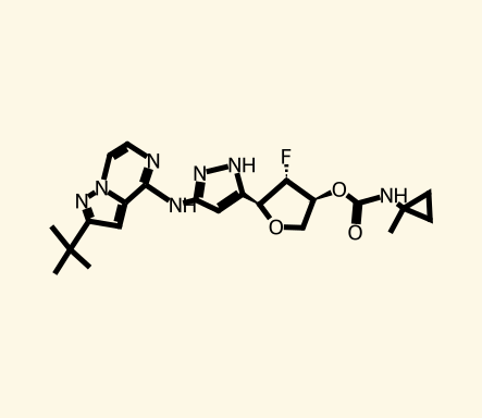 CC1(NC(=O)O[C@H]2CO[C@@H](c3cc(Nc4nccn5nc(C(C)(C)C)cc45)n[nH]3)[C@@H]2F)CC1